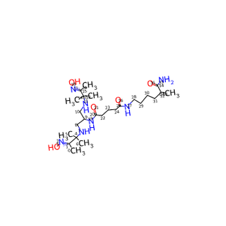 C/C(=N\O)C(C)(C)NCC(CNC(C)(C)/C(C)=N/O)NC(=O)CCCC(=O)NCCCC[C@H](C)C(N)=O